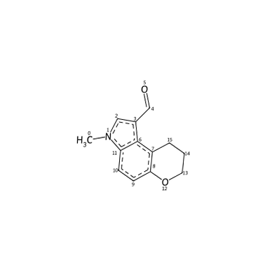 Cn1cc(C=O)c2c3c(ccc21)OCCC3